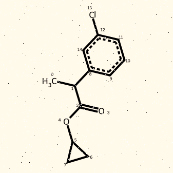 CC(C(=O)OC1CC1)c1cccc(Cl)c1